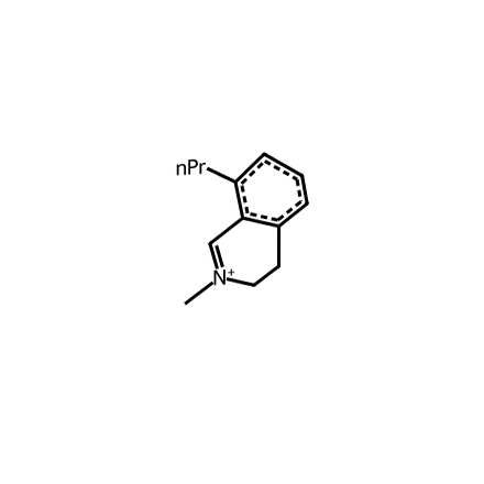 CCCc1cccc2c1C=[N+](C)CC2